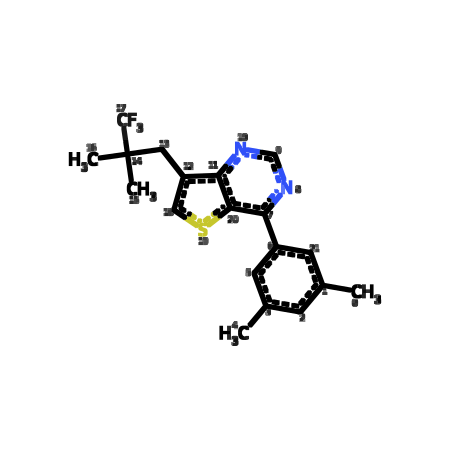 Cc1cc(C)cc(-c2ncnc3c(CC(C)(C)C(F)(F)F)csc23)c1